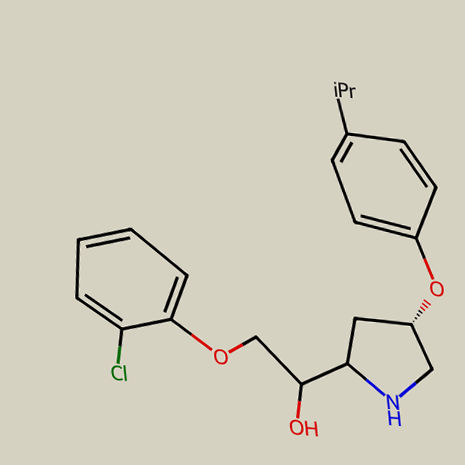 CC(C)c1ccc(O[C@@H]2CNC(C(O)COc3ccccc3Cl)C2)cc1